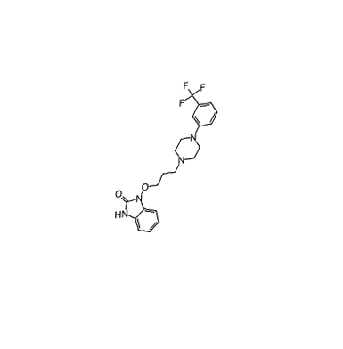 O=c1[nH]c2ccccc2n1OCCCN1CCN(c2cccc(C(F)(F)F)c2)CC1